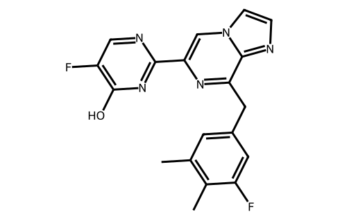 Cc1cc(Cc2nc(-c3ncc(F)c(O)n3)cn3ccnc23)cc(F)c1C